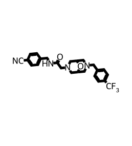 N#Cc1ccc(CNC(=O)CN2CC3CN(Cc4ccc(C(F)(F)F)cc4)CC(C2)O3)cc1